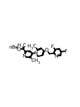 C=C(OCCCC)c1cc(N2CC=C(OCc3ncc(F)cc3F)C=C2C)c(C)cn1